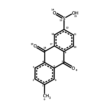 Cc1ccc2c(c1)C(=O)c1ccc(S(=O)O)cc1C2=O